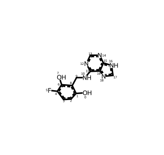 Oc1ccc(F)c(O)c1CNc1ncnc2[nH]cnc12